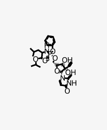 C#C[C@@]1(O)[C@H](O)[C@@H](COP(=S)(NC(CC(C)C)C(=O)OC(C)C)Oc2ccccc2)O[C@H]1N1C=CC(=O)NC1=C